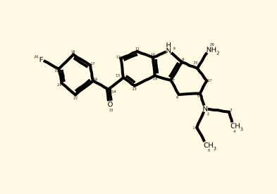 CCN(CC)C1Cc2c([nH]c3ccc(C(=O)c4ccc(F)cc4)cc23)C(N)C1